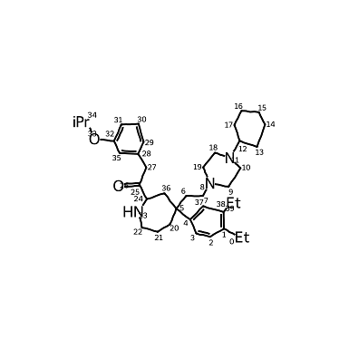 CCc1ccc(C2(CCN3CCN(C4CCCCC4)CC3)CCCNC(C(=O)Cc3cccc(OC(C)C)c3)C2)cc1CC